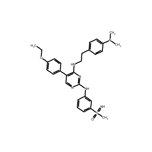 CCOc1ccc(-c2cnc(Nc3cccc(S(C)(=N)=O)c3)nc2NCCc2ccc(N(C)C)cc2)cc1